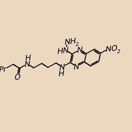 CC(C)CC(=O)NCCCCNc1nc2ccc([N+](=O)[O-])cc2nc1NN